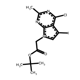 Cc1nc(Cl)c2c(I)cn(CC(=O)OC(C)(C)C)c2n1